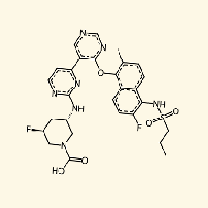 CCCS(=O)(=O)Nc1c(F)ccc2c(Oc3ncncc3-c3ccnc(N[C@H]4C[C@H](F)CN(C(=O)O)C4)n3)c(C)ccc12